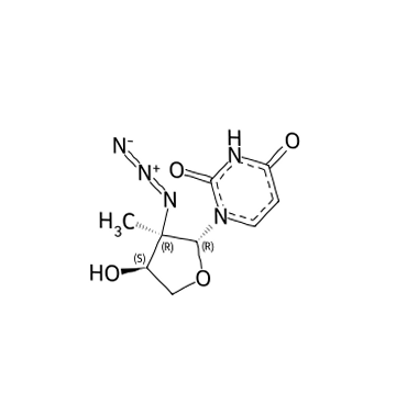 C[C@@]1(N=[N+]=[N-])[C@H](O)CO[C@H]1n1ccc(=O)[nH]c1=O